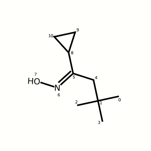 CC(C)(C)C/C(=N/O)C1CC1